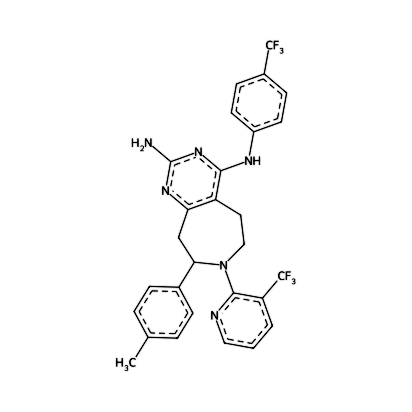 Cc1ccc(C2Cc3nc(N)nc(Nc4ccc(C(F)(F)F)cc4)c3CCN2c2ncccc2C(F)(F)F)cc1